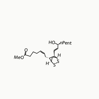 CCCCC[C@H](O)/C=C/[C@@H]1[C@@H](C/C=C\CCCC(=O)OC)[C@H]2C[C@@H]1SS2